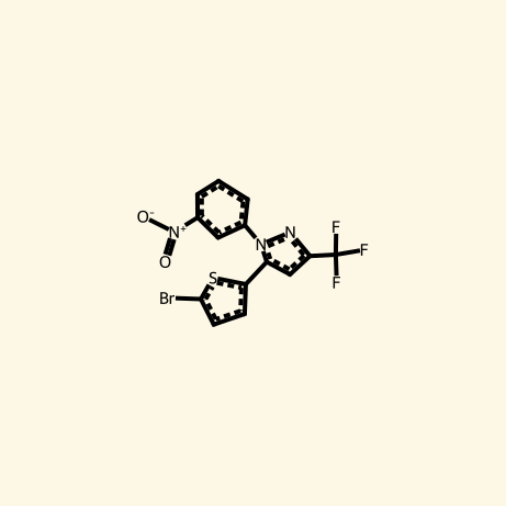 O=[N+]([O-])c1cccc(-n2nc(C(F)(F)F)cc2-c2ccc(Br)s2)c1